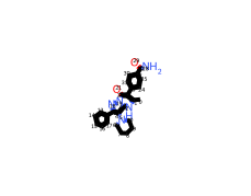 Cc1[nH]c2c(N3CCCCC3)c(-c3ccccc3)nn2c(=O)c1-c1ccc(C(N)=O)cc1